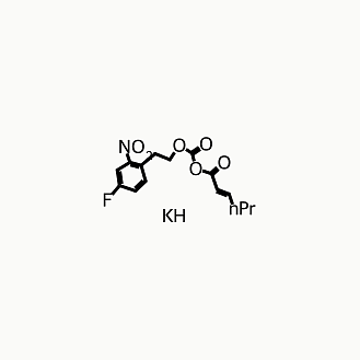 CCCC=CC(=O)OC(=O)OCCc1ccc(F)cc1[N+](=O)[O-].[KH]